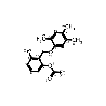 CCC(=O)Oc1cccc(CC)c1COc1cc(C)c(C)cc1C(F)(F)F